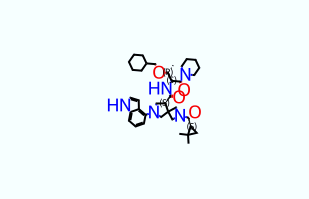 C[C@@H](OCC1CCCCC1)[C@H](NC(=O)[C@@H]1CN(c2cccc3[nH]ccc23)CC12CN(C(=O)[C@H]1CC1(C)C)C2)C(=O)N1CCCCC1